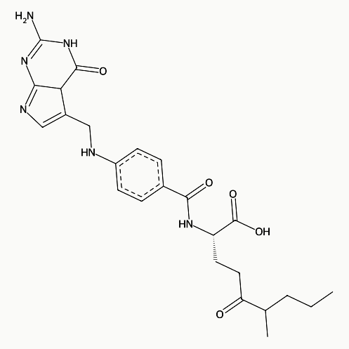 CCCC(C)C(=O)CC[C@H](NC(=O)c1ccc(NCC2=CN=C3N=C(N)NC(=O)C23)cc1)C(=O)O